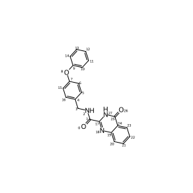 O=C(NCc1ccc(Oc2ccccc2)cc1)c1nc2ccccc2c(=O)[nH]1